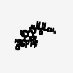 CCNC(=O)Nc1cc(-c2nc(C(F)(F)F)cs2)c(-c2cncc(C(=O)NNC=O)c2)cn1